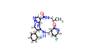 CC1CNC(=O)c2cnn3cc(-c4ccccc4F)c(nc23)NCc2cc(F)cnc2O1